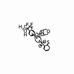 C[C@](O)(c1ccc(N2CCN(S(=O)(=O)C3=CC=CCC3=S)C[C@@H]2CN2C3COCC2CC(O)C3)cc1)C(F)(F)F